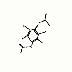 CC(C)Sc1c(F)c(F)c(SC(C)C)c(F)c1F